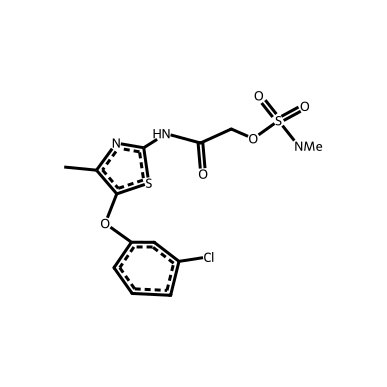 CNS(=O)(=O)OCC(=O)Nc1nc(C)c(Oc2cccc(Cl)c2)s1